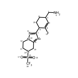 NCC1C=C(F)C(c2nc3n(n2)CCN(S(=O)(=O)C(F)(F)F)C3)CC1